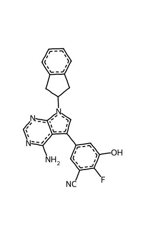 N#Cc1cc(-c2cn(C3Cc4ccccc4C3)c3ncnc(N)c23)cc(O)c1F